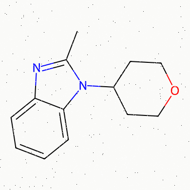 Cc1nc2ccccc2n1C1CCOCC1